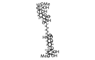 COC1C(O)C(O)[C@H](Oc2ccc3cc(NC(=O)CCCCCCC(=O)Nc4cc5ccc(O[C@@H]6OC(C)(C)[C@H](OC)C(O)C6O)cc5oc4=O)c(=O)oc3c2)OC1(C)C